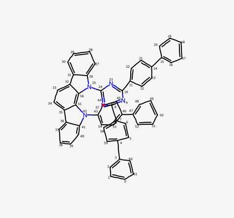 c1ccc(-c2ccc(-c3nc(-c4ccc(-c5ccccc5)cc4)nc(-n4c5ccccc5c5ccc6c7ccccc7n(-c7ccc(-c8ccccc8)cc7)c6c54)n3)cc2)cc1